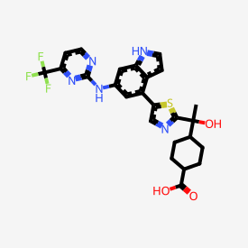 CC(O)(c1ncc(-c2cc(Nc3nccc(C(F)(F)F)n3)cc3[nH]ccc23)s1)C1CCC(C(=O)O)CC1